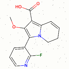 COc1c(C(=O)O)c2n(c1-c1cccnc1F)CCC=C2